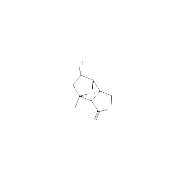 CC12CC(O)C(O1)C1COC(=O)C12